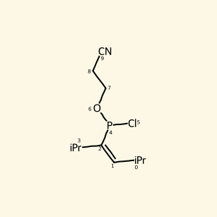 CC(C)/C=C(/C(C)C)P(Cl)OCCC#N